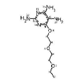 CCOCCOCCOc1nc(N)nc(N)c1N